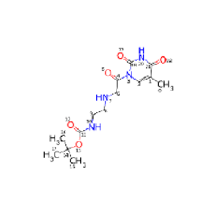 Cc1cn(C(=O)CNCCNC(=O)OC(C)(C)C)c(=O)[nH]c1=O